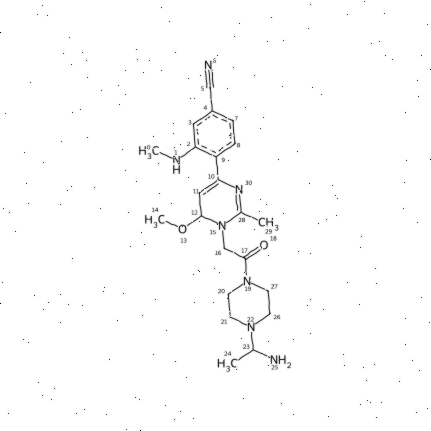 CNc1cc(C#N)ccc1C1=CC(OC)N(CC(=O)N2CCN(C(C)N)CC2)C(C)=N1